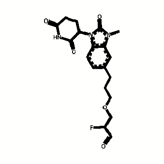 Cn1c(=O)n(C2CCC(=O)NC2=O)c2ccc(CCCOCC(F)C=O)cc21